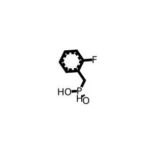 O=[PH](O)Cc1ccccc1F